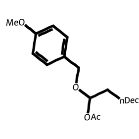 CCCCCCCCCCCC(OCc1ccc(OC)cc1)OC(C)=O